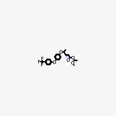 COC(C)OC(=O)/C=C/C(C)Oc1ccc(Oc2ccc(C(F)(F)F)cc2)cc1